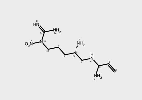 C=CC(N)NC[C@@H](N)CCCN(C(=N)N)[N+](=O)[O-]